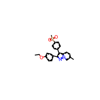 CCOc1ccc(-c2nn3cc(C)ccc3c2-c2ccc(S(C)(=O)=O)cc2)cc1